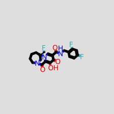 O=C(NCc1ccc(F)cc1F)c1cn2c(c(O)c1=O)C(=O)N1CCCC[C@@]2(CF)C1